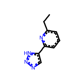 CCc1cccc(-c2cnn[nH]2)n1